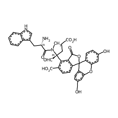 CN(C(=O)[C@@H](N)Cc1c[nH]c2ccccc12)[C@]([C]=O)(CCC(=O)O)c1c(C(=O)O)ccc2c1C(=O)OC21c2ccc(O)cc2Oc2cc(O)ccc21